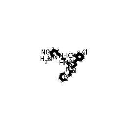 N#Cc1ccc(NCCNc2nc(-c3ccc(Cl)cc3Cl)cc3nc(CN4CCCCC4)nn23)nc1N